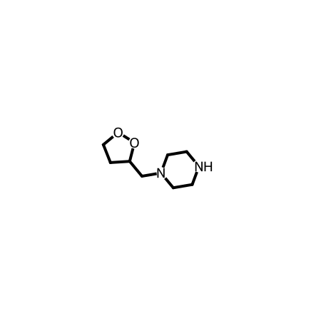 C1CN(CC2CCOO2)CCN1